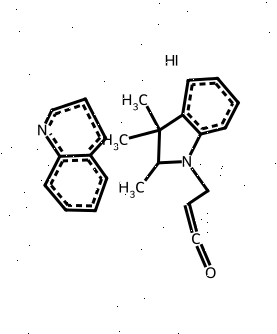 CC1N(CC=C=O)c2ccccc2C1(C)C.I.c1ccc2ncccc2c1